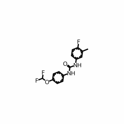 Cc1cc(NC(=O)Nc2ccc(OC(F)F)cc2)ccc1F